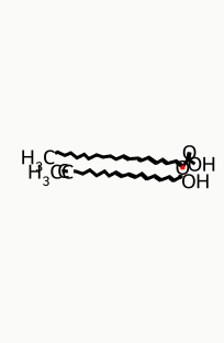 CCCCCCCCCC=CC=CC=CC=CC=CC(=O)O.CCCCCCCCCCCC=CC=CC=CC=CC=CC(=O)O